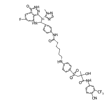 Cn1ncnc1[C@H]1c2n[nH]c(=O)c3cc(F)cc(c23)NC1c1ccc(NC(=O)CCCCCNc2ccc(S(=O)(=O)CC(C)(O)C(=O)Nc3ccc(C#N)c(C(F)(F)F)c3)cc2)cc1